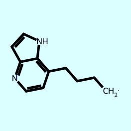 [CH2]CCCc1ccnc2cc[nH]c12